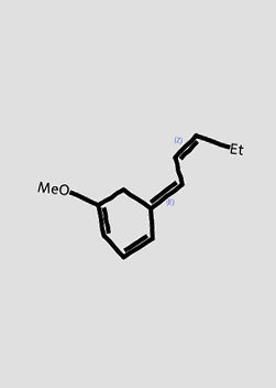 CC/C=C\C=C1\C=CC=C(OC)C1